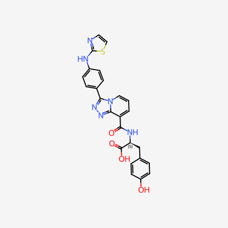 O=C(N[C@@H](Cc1ccc(O)cc1)C(=O)O)c1cccn2c(-c3ccc(Nc4nccs4)cc3)nnc12